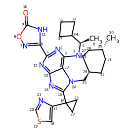 C[C@@H](Nc1nc(-c2noc(=O)[nH]2)nc2nc(C3(c4cscn4)CC3)n(C[C@H]3CC[C@H](C)CC3)c12)C1CCC1